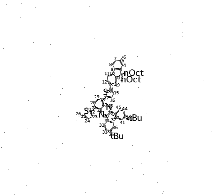 CCCCCCCCC1(CCCCCCCC)c2cc(C)ccc2-c2ccc(-c3ccc(-c4ccc(-c5ccc(C)s5)c5nc(-c6ccc(C(C)(C)C)cc6)c(-c6ccc(C(C)(C)C)cc6)nc45)s3)cc21